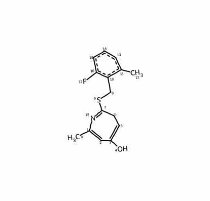 CC1=CC(O)=CCC(SCc2c(C)cccc2F)=N1